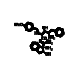 COc1ccc(CN[C@@H](C(=O)O)[C@@H](O)[C@@H](N)Cc2ccccc2)cc1.NC(=O)[C@]1(N)c2ccccc2C[C@H]1O